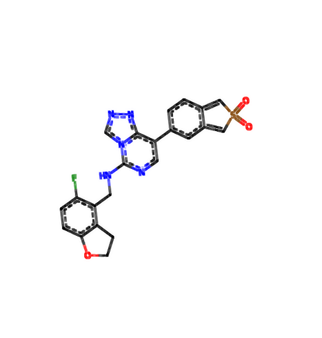 O=S1(=O)C=c2ccc(-c3cnc(NCc4c(F)ccc5c4CCO5)n4cnnc34)cc2=C1